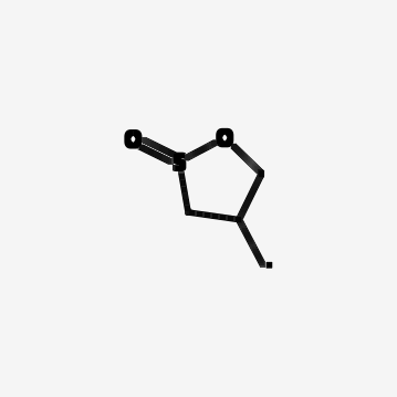 [CH2]C1COS(=O)C1